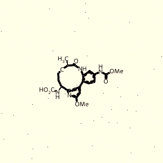 COC(=O)Nc1ccc2c(c1)NC(=O)[C@H](C)CCC[C@H](NC(=O)O)c1cc-2cc(OC)n1